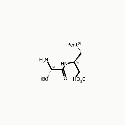 CCC[C@@H](C)C[C@@H](CC(=O)O)NC(=O)[C@@H](N)C(C)CC